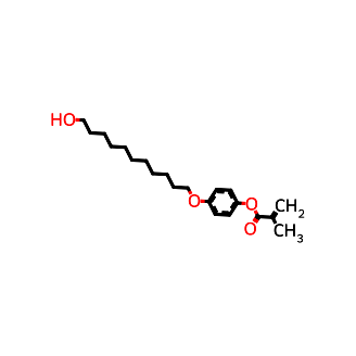 C=C(C)C(=O)Oc1ccc(OCCCCCCCCCCCO)cc1